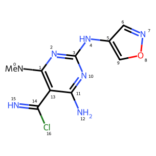 CNc1nc(Nc2cnoc2)nc(N)c1C(=N)Cl